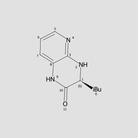 CCC(C)[C@@H]1Nc2ncccc2NC1=O